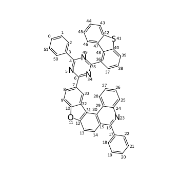 c1ccc(-c2nc(-c3ccc4oc5ccc6c(-c7ccccc7)nc7ccccc7c6c5c4c3)nc(-c3cccc4sc5ccccc5c34)n2)cc1